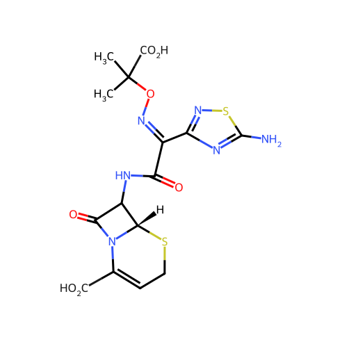 CC(C)(ON=C(C(=O)NC1C(=O)N2C(C(=O)O)=CCS[C@@H]12)c1nsc(N)n1)C(=O)O